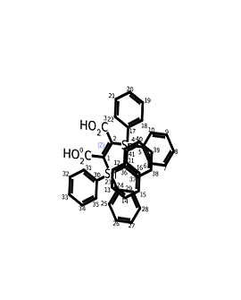 O=C(O)/[C](=[C](\C(=O)O)[Sn]([c]1ccccc1)([c]1ccccc1)[c]1ccccc1)[Sn]([c]1ccccc1)([c]1ccccc1)[c]1ccccc1